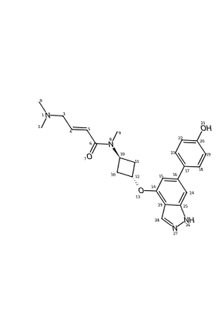 CN(C)C/C=C/C(=O)N(C)[C@H]1C[C@H](Oc2cc(-c3ccc(O)cc3)cc3[nH]ncc23)C1